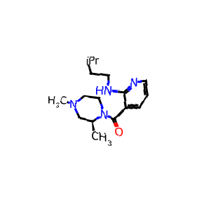 CC(C)CCNc1ncccc1C(=O)N1CCN(C)C[C@@H]1C